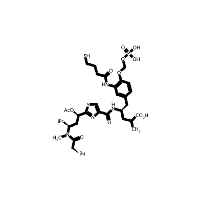 CC[C@H](C)CC(=O)N(C)[C@H](C[C@@H](OC(C)=O)c1nc(C(=O)N[C@@H](Cc2ccc(OCOP(=O)(O)O)c(NC(=O)CCCS)c2)CC(C)C(=O)O)cs1)C(C)C